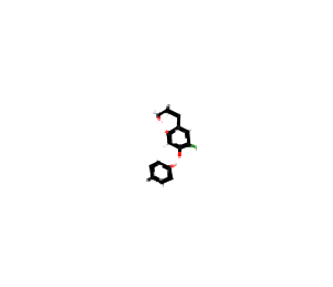 O=C(O)C1=Cc2cc(Cl)c(Oc3ccc(C(F)(F)F)cc3)cc2O[C@@H]1C(F)(F)F